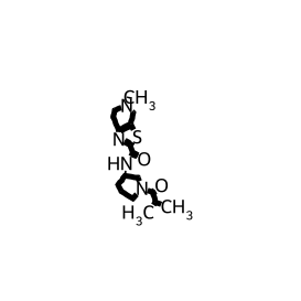 CC(C)C(=O)N1CCC[C@H](NC(=O)c2nc3c(s2)CN(C)CC3)C1